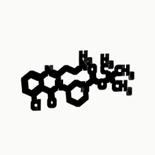 CC(C)(C)OC(=O)N1CCCC(n2c(CCN)nc3cccc(Cl)c3c2=O)C1